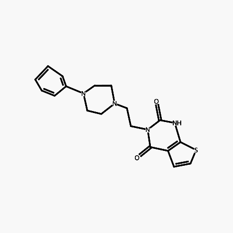 O=c1[nH]c2sccc2c(=O)n1CCN1CCN(c2ccccc2)CC1